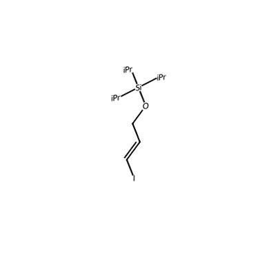 CC(C)[Si](OCC=CI)(C(C)C)C(C)C